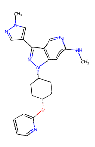 CNc1cc2c(cn1)c(-c1cnn(C)c1)nn2[C@H]1CC[C@@H](Oc2ccccn2)CC1